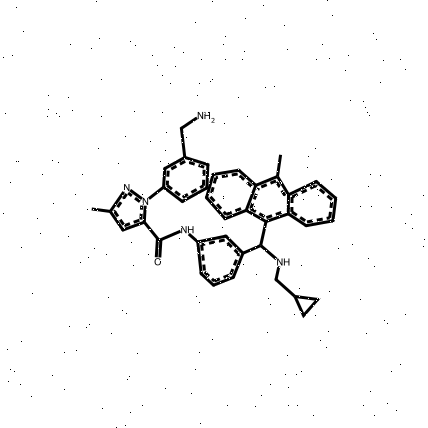 Cc1cc(C(=O)Nc2cccc(C(NCC3CC3)c3c4ccccc4c(C)c4ccccc34)c2)n(-c2cccc(CN)c2)n1